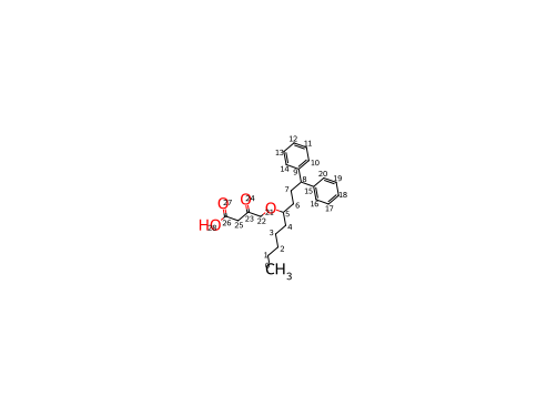 CCCCCC(CCC(c1ccccc1)c1ccccc1)OCC(=O)CC(=O)O